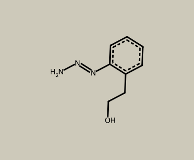 NN=Nc1ccccc1CCO